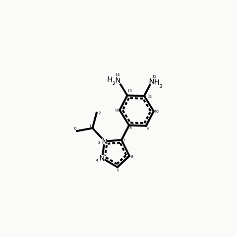 CC(C)n1nccc1-c1ccc(N)c(N)c1